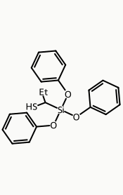 CCC(S)[Si](Oc1ccccc1)(Oc1ccccc1)Oc1ccccc1